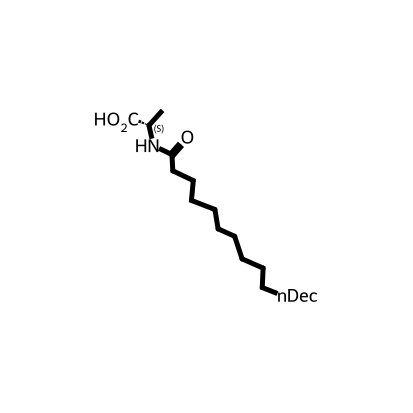 CCCCCCCCCCCCCCCCCCCC(=O)N[C@@H](C)C(=O)O